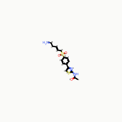 CC(=O)Nc1nc(-c2ccc(S(=O)(=O)CC=CCCN)cc2)cs1